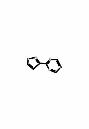 c1ncnc(-c2ccon2)n1